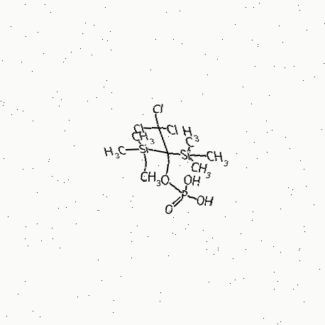 C[Si](C)(C)C(OP(=O)(O)O)(C(Cl)(Cl)Cl)[Si](C)(C)C